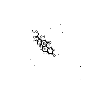 CC(=O)OCC(=O)[C@@]1(O)[C@H](C)C[C@H]2[C@@H]3CCC4=CC(=O)C=C[C@]4(C)[C@@]3(F)C(=O)C[C@@]21C